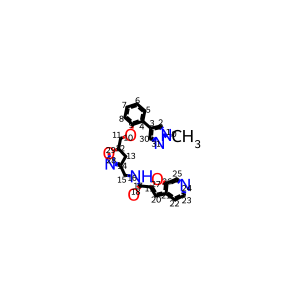 Cn1cc(-c2ccccc2OCC2CC(CNC(=O)c3cc4ccncc4o3)=NO2)cn1